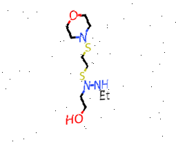 CCNN(CCO)SCCSN1CCOCC1